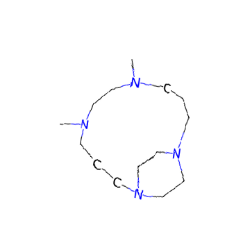 CN1CCCN2CCN(CCCN(C)CC1)CC2